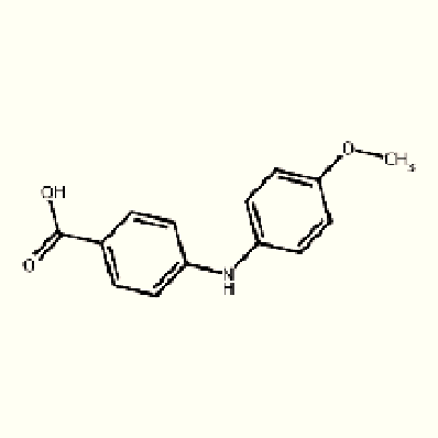 COc1ccc(Nc2ccc(C(=O)O)cc2)cc1